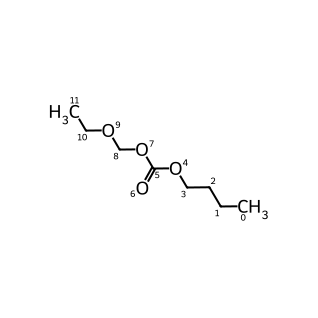 CCCCOC(=O)OCOCC